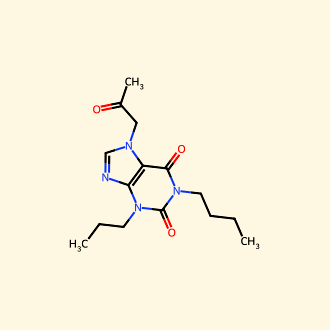 CCCCn1c(=O)c2c(ncn2CC(C)=O)n(CCC)c1=O